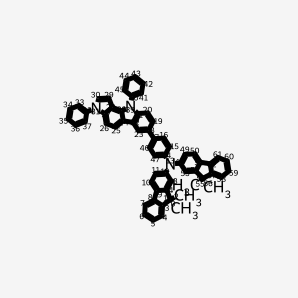 CC1(C)c2ccccc2-c2ccc(N(c3ccc(-c4ccc5c(c4)c4ccc6c(ccn6-c6ccccc6)c4n5-c4ccccc4)cc3)c3ccc4c(c3)C(C)(C)c3ccccc3-4)cc21